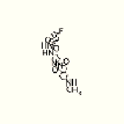 CCNc1ccc2c(c1)CC(=O)N(c1ccc(NC(=O)NS(=O)(=O)c3ccc(F)s3)cn1)C2=O